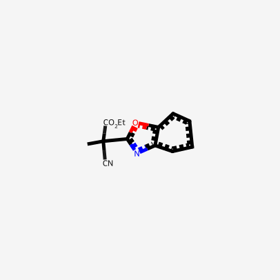 CCOC(=O)C(C)(C#N)c1nc2ccccc2o1